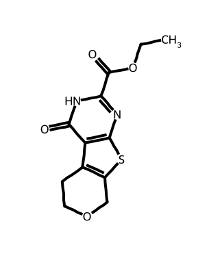 CCOC(=O)c1nc2sc3c(c2c(=O)[nH]1)CCOC3